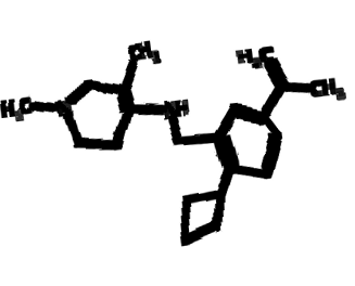 C=C(C)c1ccc(C2CCC2)c(CNC2=C(C)CN(C)CC2)c1